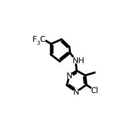 Cc1c(Cl)ncnc1Nc1ccc(C(F)(F)F)cc1